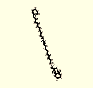 c1ccc2c(c1)OCC(COCCCCCCCCCCOCCCCCCCCCCN1CCCCC1)O2